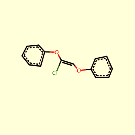 ClC(=COc1ccccc1)Oc1ccccc1